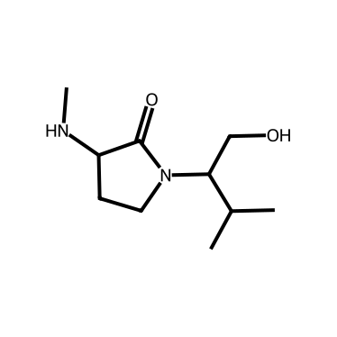 CNC1CCN(C(CO)C(C)C)C1=O